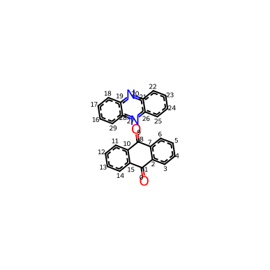 O=C1c2ccccc2C(=O)c2ccccc21.c1ccc2nc3ccccc3nc2c1